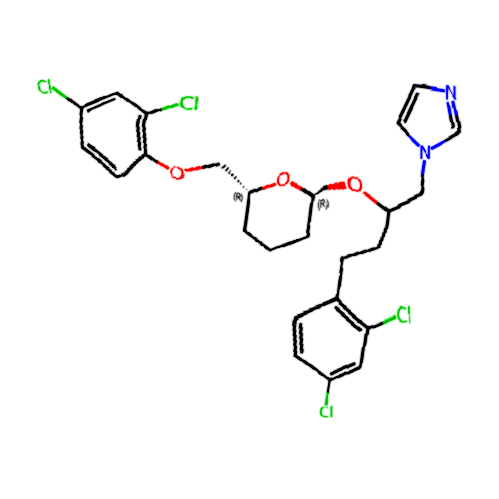 Clc1ccc(CCC(Cn2ccnc2)O[C@H]2CCC[C@H](COc3ccc(Cl)cc3Cl)O2)c(Cl)c1